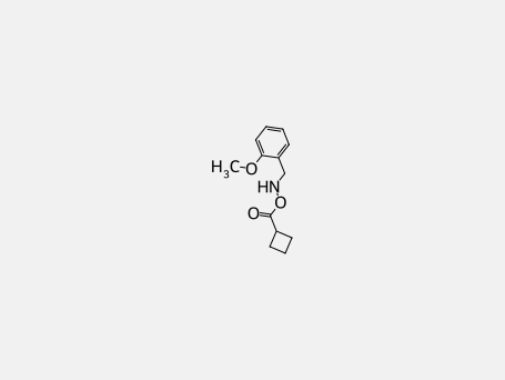 COc1ccccc1CNOC(=O)C1CCC1